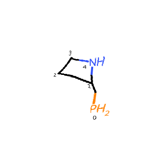 PC1CCN1